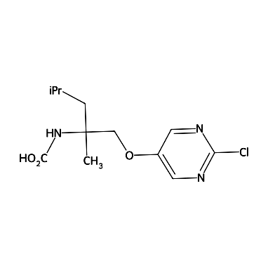 CC(C)CC(C)(COc1cnc(Cl)nc1)NC(=O)O